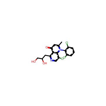 Cc1cc(=O)c2c(CC(O)CO)ncc(Cl)c2n1-c1c(Cl)cccc1Cl